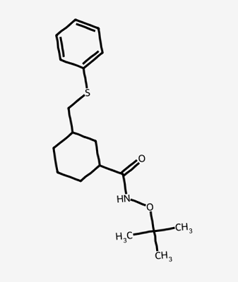 CC(C)(C)ONC(=O)C1CCCC(CSc2ccccc2)C1